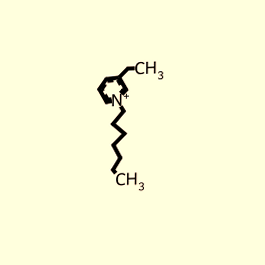 CCCCCCC[n+]1cccc(CC)c1